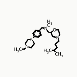 CCN1CCN(c2ccc(CN(C)C[C@@H]3CN(CCCC(C)C)CCO3)cc2)CC1